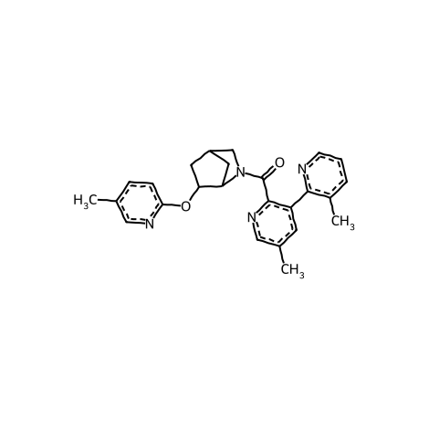 Cc1ccc(OC2CC3CC2N(C(=O)c2ncc(C)cc2-c2ncccc2C)C3)nc1